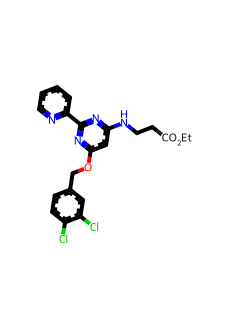 CCOC(=O)CCNc1cc(OCc2ccc(Cl)c(Cl)c2)nc(-c2ccccn2)n1